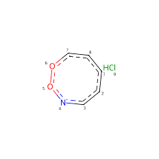 Cl.c1ccnoocc1